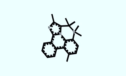 Cc1nc2c3ccccc3c3c(C)ccc4c3n2c1C(C)(C)[Si]4(C)C